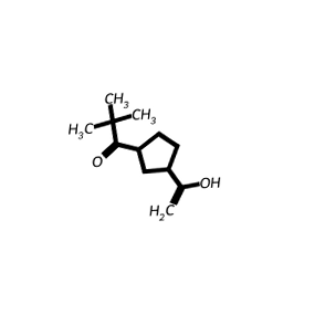 C=C(O)C1CCC(C(=O)C(C)(C)C)C1